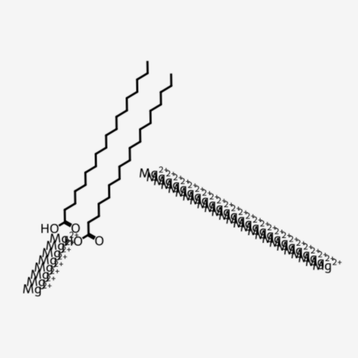 CCCCCCCCCCCCCCCCCC(=O)O.CCCCCCCCCCCCCCCCCC(=O)O.[Mg+2].[Mg+2].[Mg+2].[Mg+2].[Mg+2].[Mg+2].[Mg+2].[Mg+2].[Mg+2].[Mg+2].[Mg+2].[Mg+2].[Mg+2].[Mg+2].[Mg+2].[Mg+2].[Mg+2].[Mg+2].[Mg+2].[Mg+2].[Mg+2].[Mg+2].[Mg+2].[Mg+2].[Mg+2].[Mg+2].[Mg+2].[Mg+2].[Mg+2].[Mg+2].[Mg+2].[Mg+2].[Mg+2]